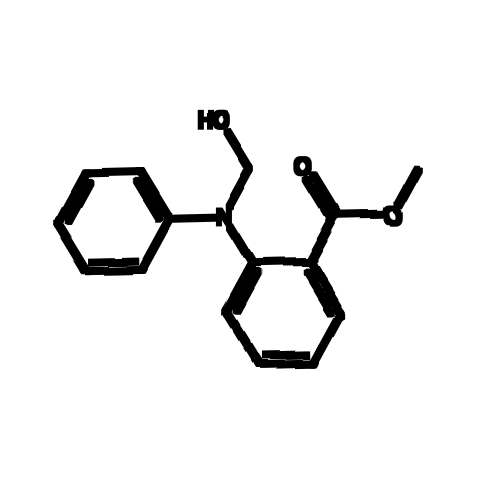 COC(=O)c1ccccc1N(CO)c1ccccc1